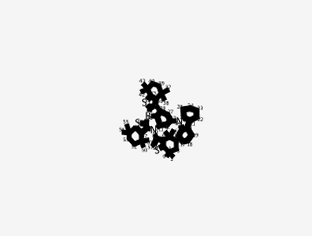 CC1(C)CCC(C)(C)c2c(N3c4cc(-n5c6ccccc6c6ccccc65)cc5c4B(c4sc6c(c4-5)C(C)(C)CCC6(C)C)c4sc5c(c43)C(C)(C)CCC5(C)C)csc21